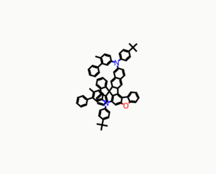 Cc1ccc(N(c2ccc(C(C)(C)C)cc2)c2ccc3c(c2)=CC2C(C=3)c3c(c(N(c4ccc(C(C)(C)C)cc4)c4ccc(C)c(-c5ccccc5)c4)cc4oc5ccccc5c34)C23c2ccccc2-c2ccccc23)cc1-c1ccccc1